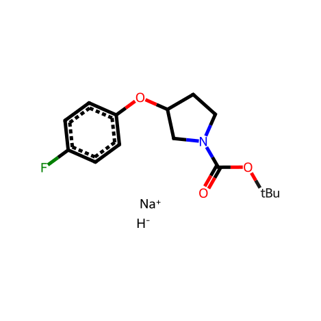 CC(C)(C)OC(=O)N1CCC(Oc2ccc(F)cc2)C1.[H-].[Na+]